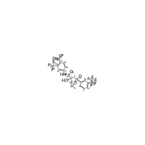 CC(O)(CS(=O)(=O)c1cccc(S(F)(F)(F)(F)F)c1)C(=O)Nc1ccc([N+](=O)[O-])c(C(F)(F)F)c1